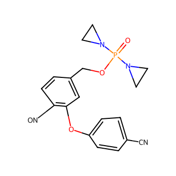 N#Cc1ccc(Oc2cc(COP(=O)(N3CC3)N3CC3)ccc2N=O)cc1